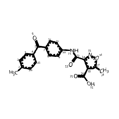 Cc1ccc(C(=O)c2ccc(NC(=O)c3noc(C)c3C(=O)O)cc2)cc1